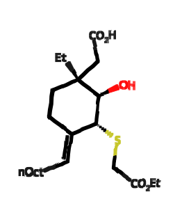 CCCCCCCCC=C1CC[C@](CC)(CC(=O)O)[C@@H](O)[C@@H]1SCC(=O)OCC